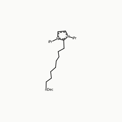 CCCCCCCCCCCCCCCCCCc1n(C(C)C)cc[n+]1C(C)C